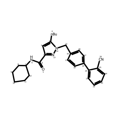 CCCCc1cc(C(=O)NC2CCCCC2)nn1Cc1ccc(-c2ccccc2C#N)cc1